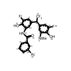 CNc1cc(C(c2cc(F)c(O)c(NC(=O)c3cccc(C(C)=O)c3)c2)C(F)(F)F)cc(F)c1O